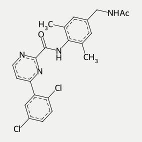 CC(=O)NCc1cc(C)c(NC(=O)c2nccc(-c3cc(Cl)ccc3Cl)n2)c(C)c1